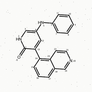 O=c1[nH]cc(Nc2ccccc2)cc1-c1cccc2cnccc12